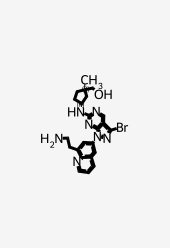 C[C@@]1(CO)CC[C@@H](Nc2ncc3c(Br)nn(-c4cc(CCN)c5ncccc5c4)c3n2)C1